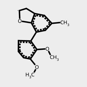 COc1cccc(-c2cc(C)cc3c2O[CH]C3)c1OC